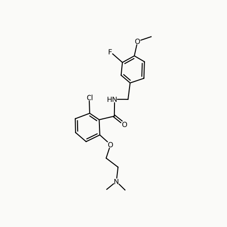 COc1ccc(CNC(=O)c2c(Cl)cccc2OCCN(C)C)cc1F